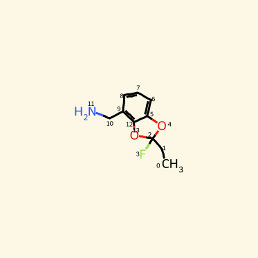 CCC1(F)Oc2cccc(CN)c2O1